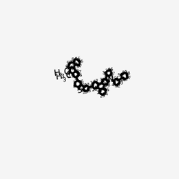 CC1(C)c2cc(-c3ccc4sc5ccc(-c6ccc7c(c6)c6ccccc6c6cc8c(cc76)c6ccccc6n8-c6cccc(-c7ccccc7)c6)cc5c4c3)ccc2-c2c1ccc1ccccc21